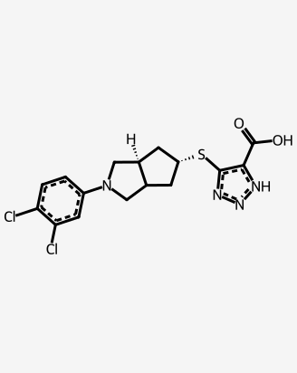 O=C(O)c1[nH]nnc1S[C@@H]1CC2CN(c3ccc(Cl)c(Cl)c3)C[C@H]2C1